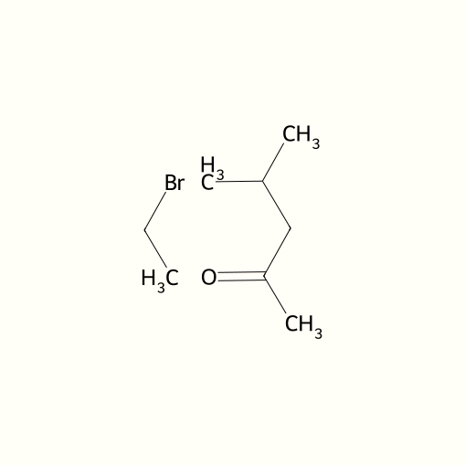 CC(=O)CC(C)C.CCBr